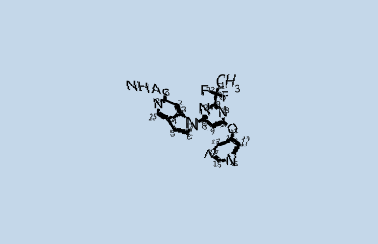 CC(=O)Nc1cc2c(ccn2-c2cc(Oc3cncnc3)nc(C(C)(F)F)n2)cn1